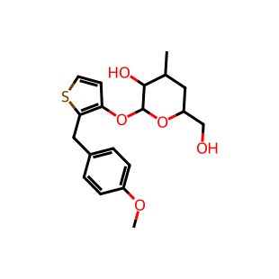 COc1ccc(Cc2sccc2OC2OC(CO)CC(C)C2O)cc1